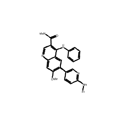 CCNc1ccc(-c2cc3c(Nc4ccccc4)c(C(=O)NC)cnc3cc2OC)cn1